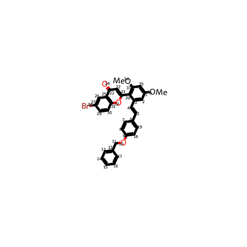 COc1cc(/C=C/c2ccc(OCc3ccccc3)cc2)c(-c2cc(=O)c3cc(Br)ccc3o2)c(OC)c1